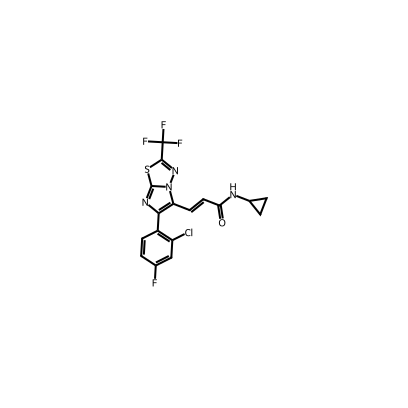 O=C(/C=C/c1c(-c2ccc(F)cc2Cl)nc2sc(C(F)(F)F)nn12)NC1CC1